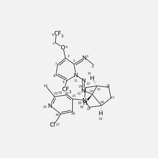 C/N=c1/c(OCC(F)(F)F)ccc(C(F)(F)F)n1/N=N/[C@@H]1[C@@H]2CC[C@H]1CN(c1cc(C)nc(Cl)c1)C2